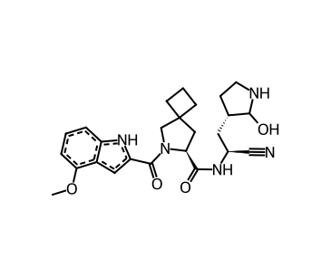 COc1cccc2[nH]c(C(=O)N3CC4(CCC4)C[C@H]3C(=O)N[C@H](C#N)C[C@@H]3CCNC3O)cc12